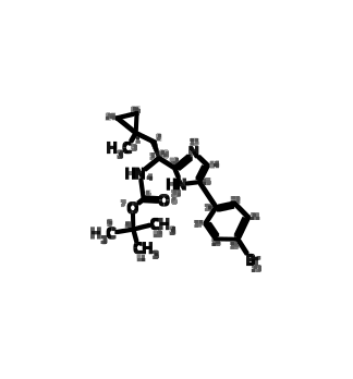 CC1(C[C@H](NC(=O)OC(C)(C)C)c2ncc(-c3ccc(Br)cc3)[nH]2)CC1